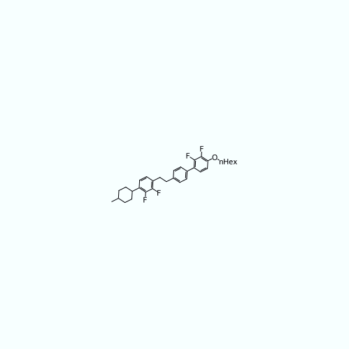 CCCCCCOc1ccc(-c2ccc(CCc3ccc(C4CCC(C)CC4)c(F)c3F)cc2)c(F)c1F